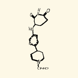 O=CN1CCC(c2ccc(NC3CCC(=O)NC3=O)cn2)CC1